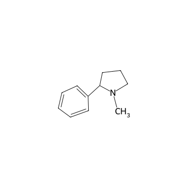 CN1CCCC1c1ccccc1